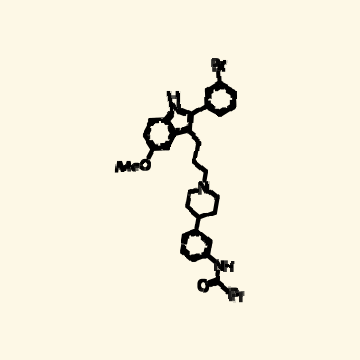 COc1ccc2[nH]c(-c3cccc(Br)c3)c(CCCN3CCC(c4cccc(NC(=O)C(C)C)c4)CC3)c2c1